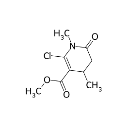 COC(=O)C1=C(Cl)N(C)C(=O)CC1C